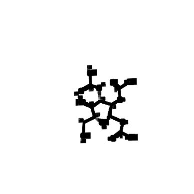 O=C(O)OC[C@H](OC(=O)O)[C@@H](OC(=O)O)[C@H](O)[C@H](O)CO